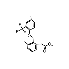 COC(=O)Cc1cccc(I)c1COc1ccc(C)cc1C(F)(F)F